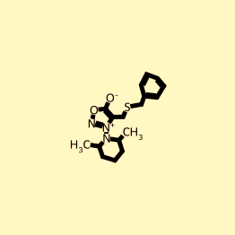 CC1CCCC(C)N1[n+]1noc([O-])c1CSCc1ccccc1